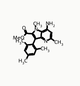 COC(=O)c1c(-c2c(C)cc(C)cc2C)c2nc(C)cc(N)c2n1C